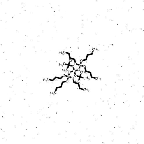 CCCCO[Si](OCCCC)(OCCCC)[O][Ti]([O]C(C)(C)C)([O]C(C)(C)C)[O][Si](OCCCC)(OCCCC)OCCCC